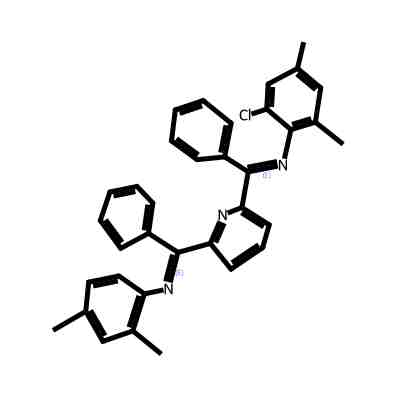 Cc1ccc(/N=C(\c2ccccc2)c2cccc(/C(=N/c3c(C)cc(C)cc3Cl)c3ccccc3)n2)c(C)c1